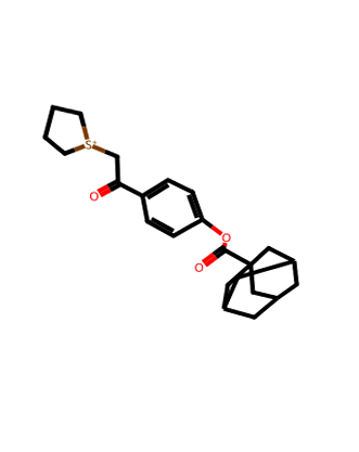 O=C(C[S+]1CCCC1)c1ccc(OC(=O)C23CC4CC(CC(C4)C2)C3)cc1